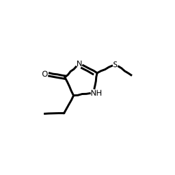 CCC1NC(SC)=NC1=O